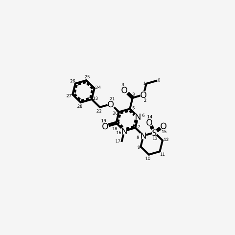 CCOC(=O)c1nc(N2CCCCS2(=O)=O)n(C)c(=O)c1OCc1ccccc1